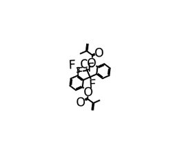 C=C(C)C(=O)Oc1ccccc1C(F)(c1ccccc1OC(=O)C(=C)C)C(F)(F)C(F)(F)F